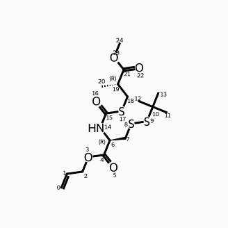 C=CCOC(=O)[C@H](CSSC(C)(C)C)NC(=O)SC[C@H](C)C(=O)OC